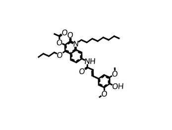 CCCCCCCCn1c(=O)c(OC(C)=O)c(OCCCC)c2ccc(NC(=O)/C=C/c3cc(OC)c(O)c(OC)c3)cc21